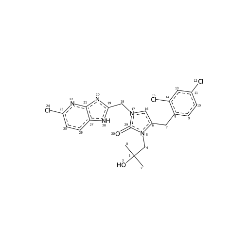 CC(C)(O)Cn1c(Cc2ccc(Cl)cc2Cl)cn(Cc2nc3nc(Cl)ccc3[nH]2)c1=O